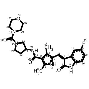 Cc1[nH]c(/C=C2\C(=O)Nc3ccc(F)cc32)c(C)c1C(=O)N[C@H]1CCN(C(=O)N2CCOCC2)C1